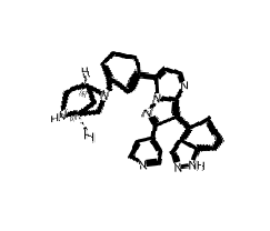 c1cc(-c2ccnc3c(-c4cccc5[nH]ncc45)c(-c4ccncc4)nn23)cc(N2C[C@@H]3C[C@H]2CN3)c1